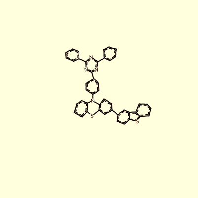 c1ccc(-c2nc(-c3ccccc3)nc(-c3ccc(N4c5ccccc5Sc5cc(-c6ccc7sc8ccccc8c7c6)ccc54)cc3)n2)cc1